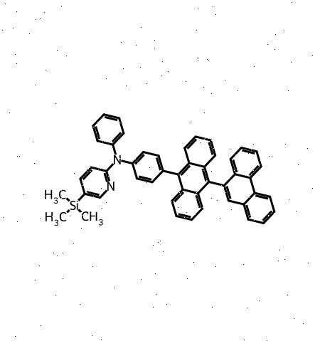 C[Si](C)(C)c1ccc(N(c2ccccc2)c2ccc(-c3c4ccccc4c(-c4cc5ccccc5c5ccccc45)c4ccccc34)cc2)nc1